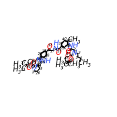 CCCCN(CC(=O)Nc1cc(C(=O)NCC(=O)c2ccc3nc([C@@H]4CCCN4C(=O)OC(C)(C)C)[nH]c3c2)ccc1C)C(=O)OC(C)(C)C